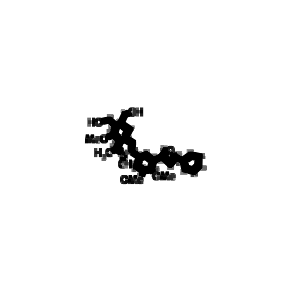 COc1cc(-c2cc3cc(CO)c(CO)c(OC)c3c(C)[n+]2C)cc(-c2coc(-c3ccccc3)c2)c1OC